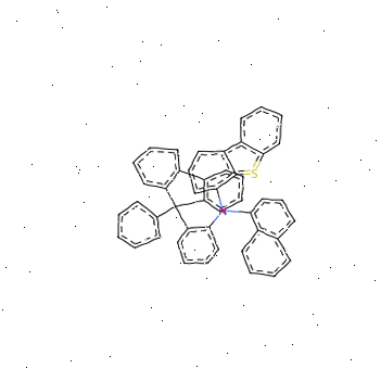 c1ccc(C2(c3ccccc3N(c3cccc4ccccc34)c3cccc4c3sc3ccccc34)c3ccccc3-c3ccccc32)cc1